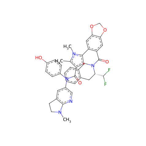 Cc1c(C(=O)N(c2ccc(O)cc2)c2cnc3c(c2)CCN3C)cc(-c2cc3c(cc2C(=O)N2Cc4ccccc4C[C@H]2C(F)F)OCO3)n1C